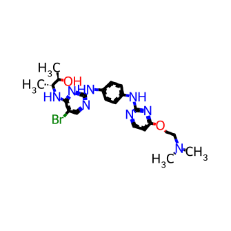 C[C@@H](O)[C@@H](C)Nc1nc(Nc2ccc(Nc3nccc(OCCN(C)C)n3)cc2)ncc1Br